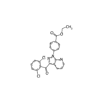 CCOC(=O)c1ccc(-n2nc(C(=O)c3c(Cl)cccc3Cl)c3cccnc32)cc1